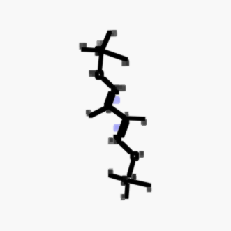 CC(=N\O[Si](C)(C)C)/C(C)=N/O[Si](C)(C)C